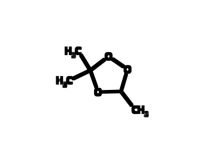 CC1OOC(C)(C)O1